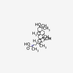 C/C(=C\CC[C@@H](C)[C@H]1C[C@H](O)[C@@]2(C)C3=CCC4C(C)(C)[C@@H](O)CC[C@]4(C)C3=CC[C@]12C)C(=O)O